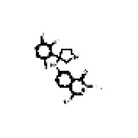 Cc1nn(C)c(=O)c2cc(NC3(c4c(F)ccc(Cl)c4Cl)CCNC3)ccc12